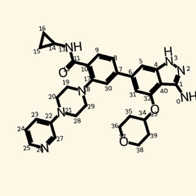 Nc1n[nH]c2cc(-c3ccc(C(=O)NC4CC4)c(N4CCN(c5cccnc5)CC4)c3)cc(OC3CCOCC3)c12